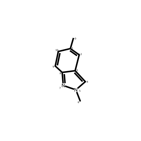 Cc1[c]c2cn(C)nc2cc1